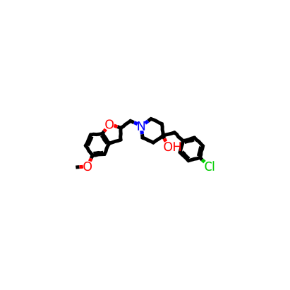 COc1ccc2c(c1)CC(CN1CCC(O)(Cc3ccc(Cl)cc3)CC1)O2